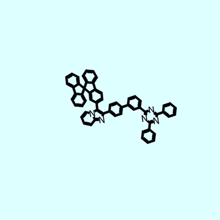 c1ccc(-c2nc(-c3ccccc3)nc(-c3cccc(-c4ccc(-c5nc6ccccn6c5-c5ccc6c(c5)C5(c7ccccc7-c7ccccc75)c5ccccc5-6)cc4)c3)n2)cc1